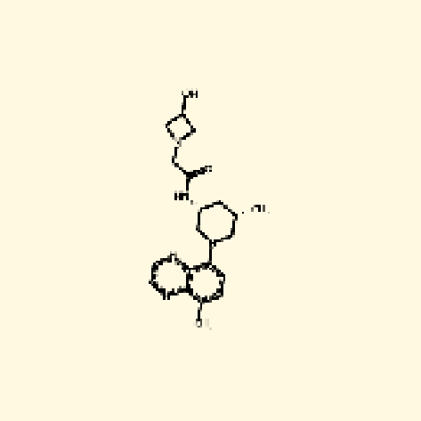 Cc1ccc(N2C[C@@H](C)C[C@@H](NC(=O)CN3CC(O)C3)C2)c2nccnc12